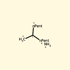 CCCCCC(C)CCCCC.N